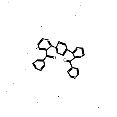 O=C(c1ccccc1)c1ccccc1-c1ccc(-c2ccccc2C(=O)c2ccccc2)cc1